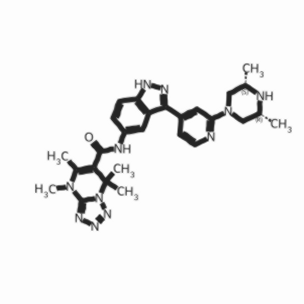 CC1=C(C(=O)Nc2ccc3[nH]nc(-c4ccnc(N5C[C@@H](C)N[C@@H](C)C5)c4)c3c2)C(C)(C)n2nnnc2N1C